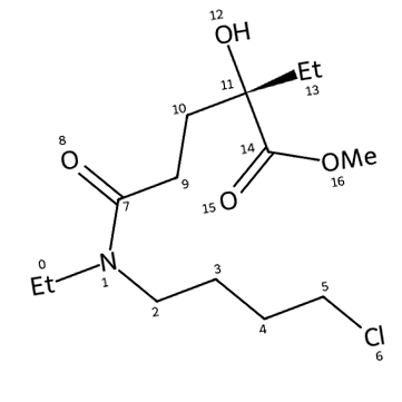 CCN(CCCCCl)C(=O)CC[C@@](O)(CC)C(=O)OC